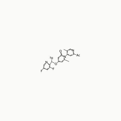 [2H]C(Oc1cc(C)n(-c2cc(C(C)=O)ncc2C)c(=O)c1)c1ncc(F)cc1F